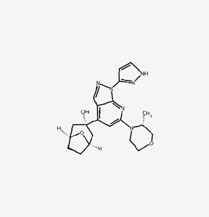 C[C@@H]1COCCN1c1cc([C@@]2(O)C[C@H]3CC[C@@H](C2)O3)c2cnn(-c3cc[nH]n3)c2n1